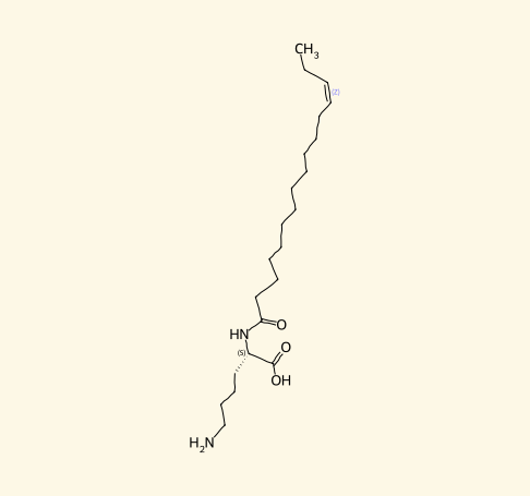 CC/C=C\CCCCCCCCCCCC(=O)N[C@@H](CCCCN)C(=O)O